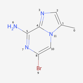 Cc1cnc2c(N)nc(Br)cn12